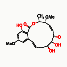 COc1cc(O)c2c(c1)/C=C/C[C@H](O)C(O)C(=O)/C=C\[C@@H](OC)C(C)OC2=O